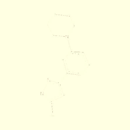 [2H]c1cn(-c2cccc(N3CCOCC3)c2)nn1